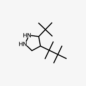 CC(C)(C)C1NNCC1C(C)(C)C(C)(C)C